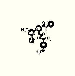 COc1ccc(C(C)NC(=O)CC2CN(C(=O)Nc3ccccc3)CCN2c2cc(C)nc(-n3ccnc3)n2)cc1